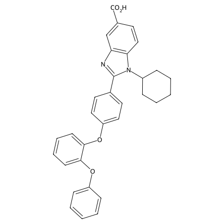 O=C(O)c1ccc2c(c1)nc(-c1ccc(Oc3ccccc3Oc3ccccc3)cc1)n2C1CCCCC1